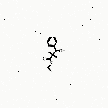 CCSC(=O)C(C)(C)C(O)c1ccccc1